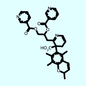 Cc1c(C)c(C2(C(=O)O)CC=CN=C2CC(COC(=O)c2cccnc2)OC(=O)c2cccnc2)c(C)c2c1OC(C)C=C2